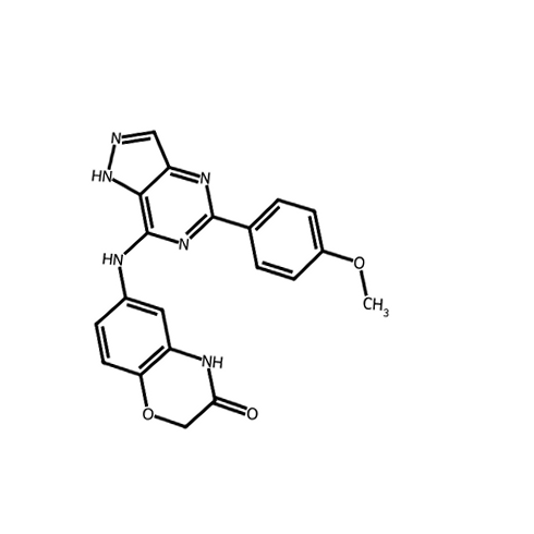 COc1ccc(-c2nc(Nc3ccc4c(c3)NC(=O)CO4)c3[nH]ncc3n2)cc1